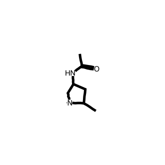 CC(=O)NC1C[N]C(C)C1